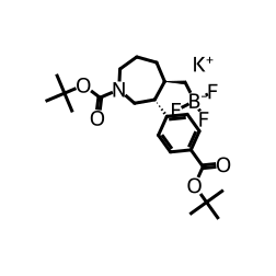 CC(C)(C)OC(=O)c1ccc([C@@H]2CN(C(=O)OC(C)(C)C)CCC[C@H]2C[B-](F)(F)F)cc1.[K+]